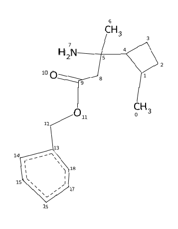 CC1CCC1C(C)(N)CC(=O)OCc1ccccc1